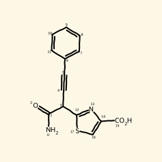 NC(=O)C(C#Cc1ccccc1)c1nc(C(=O)O)cs1